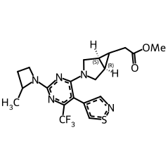 COC(=O)CC1[C@H]2CN(c3nc(N4CCC4C)nc(C(F)(F)F)c3-c3cnsc3)C[C@@H]12